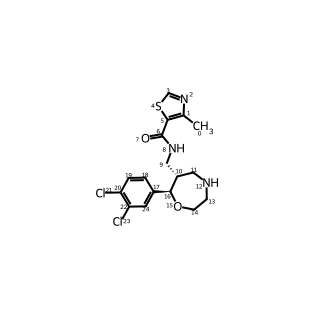 Cc1ncsc1C(=O)NC[C@@H]1CNCCO[C@H]1c1ccc(Cl)c(Cl)c1